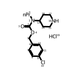 CCCN(C(=O)OCc1ccc(Cl)cc1)C1CCNCC1.Cl